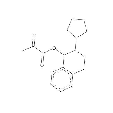 C=C(C)C(=O)OC1c2ccccc2CCC1C1CCCC1